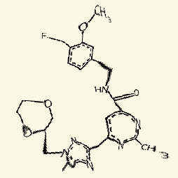 COc1cc(CNC(=O)c2cc(-c3nnn(C[C@@H]4COCCO4)n3)nc(C)n2)ccc1F